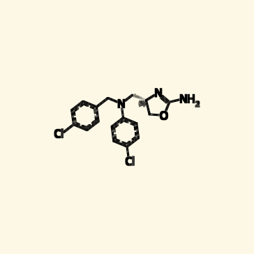 NC1=N[C@@H](CN(Cc2ccc(Cl)cc2)c2ccc(Cl)cc2)CO1